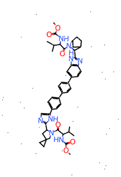 COC(=O)NC(C(=O)N1CC2(CC2)CC1c1ncc(-c2ccc(-c3ccc(-c4ccc5nc(C6C7CCC(C7)N6C(=O)C(NC(=O)OC)C(C)C)[nH]c5c4)cc3)cc2)[nH]1)C(C)C